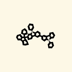 c1ccc(-n2c3ccccc3c3cc(-c4ccc5c(c4)c4ccc(C6(c7ccccc7)c7ccccc7-c7ccccc76)cc4n5-c4ccccc4)ccc32)cc1